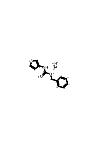 O=C(Nc1ccsc1)OCc1ccccc1.[H-].[Na+]